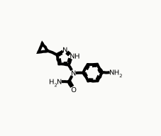 NC(=O)N(c1ccc(N)cc1)c1cc(C2CC2)n[nH]1